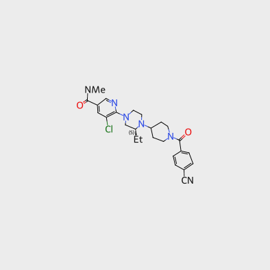 CC[C@H]1CN(c2ncc(C(=O)NC)cc2Cl)CCN1C1CCN(C(=O)c2ccc(C#N)cc2)CC1